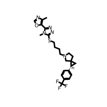 Cc1ncoc1-c1nnc(SCCCCN2CCC3(C[C@@H]3c3ccc(C(F)(F)F)cc3)C2)n1C